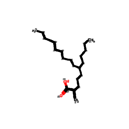 C=C(CCCC(CCCCC)CCCCCCCCC)C(=O)O